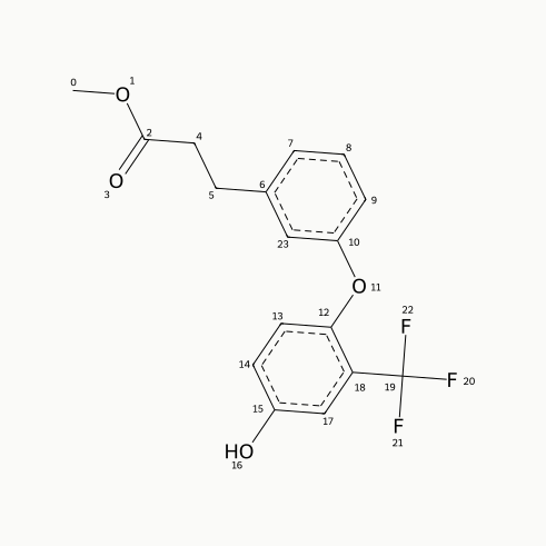 COC(=O)CCc1cccc(Oc2ccc(O)cc2C(F)(F)F)c1